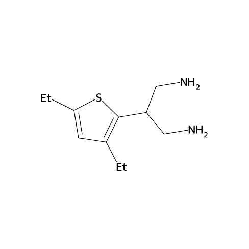 CCc1cc(CC)c(C(CN)CN)s1